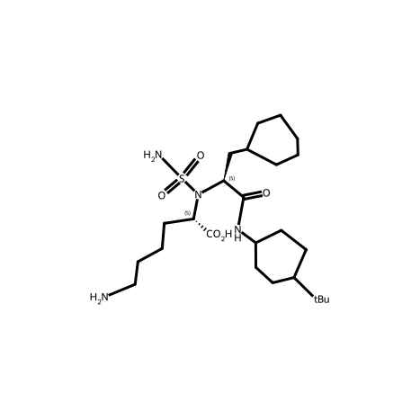 CC(C)(C)C1CCC(NC(=O)[C@H](CC2CCCCC2)N([C@@H](CCCCN)C(=O)O)S(N)(=O)=O)CC1